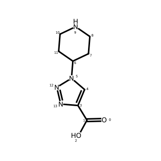 O=C(O)c1cn(C2CCNCC2)nn1